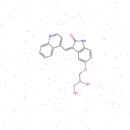 O=C1Nc2ccc(OCC(O)CO)cc2C1=Cc1ccnc2ccccc12